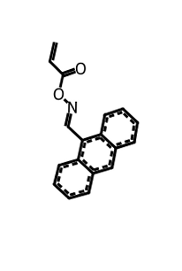 C=CC(=O)ON=Cc1c2ccccc2cc2ccccc12